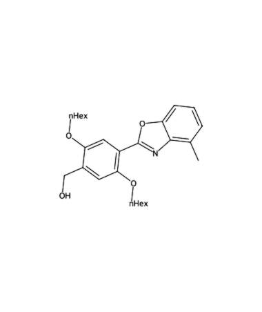 CCCCCCOc1cc(-c2nc3c(C)cccc3o2)c(OCCCCCC)cc1CO